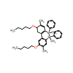 CCCCCOc1cc2c(cc1C)[Si](C)(c1ccccc1)[Si](C)(c1ccccc1)C1=C2CC(OCCCCC)C(C)=C1